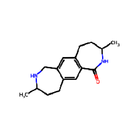 CC1CCc2cc3c(cc2CN1)CCC(C)NC3=O